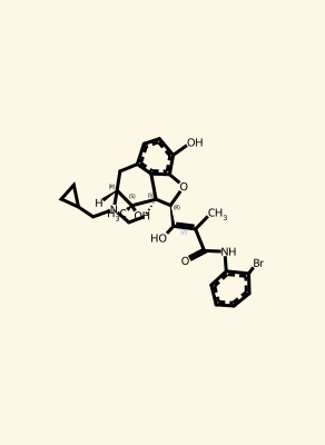 C/C(C(=O)Nc1ccccc1Br)=C(/O)[C@@H]1Oc2c(O)ccc3c2[C@@]12CCN(CC1CC1)[C@H](C3)[C@@]2(C)O